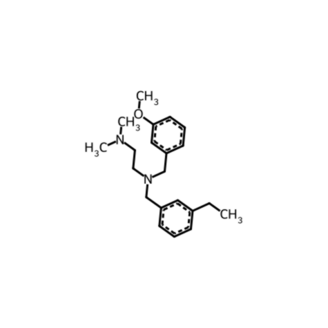 CCc1cccc(CN(CCN(C)C)Cc2cccc(OC)c2)c1